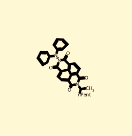 CCCCCC(C)N1C(=O)c2ccc3c4c(ccc(c24)C1=O)C(=O)N(N(c1ccccc1)C1C=CC=CC1)C3=O